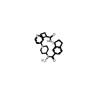 CN(C(=O)c1ccc2c(c1)[C@H](NC(=O)C1CCC1)CC2)C1CCN(c2ccncc2)CC1